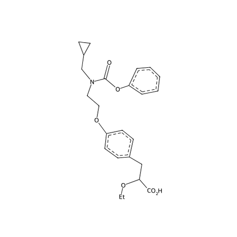 CCOC(Cc1ccc(OCCN(CC2CC2)C(=O)Oc2ccccc2)cc1)C(=O)O